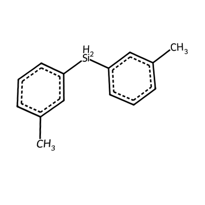 Cc1cccc([SiH2]c2cccc(C)c2)c1